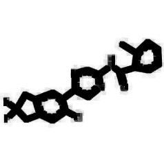 Cc1ccccc1C(=O)Nc1cnc(-c2cc3c(cc2Cl)CC(F)(F)C3)cn1